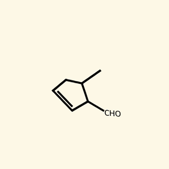 CC1CC=CC1C=O